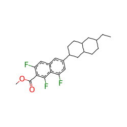 CCC1CCC2CC(c3cc(F)c4c(F)c(C(=O)OC)c(F)cc4c3)CCC2C1